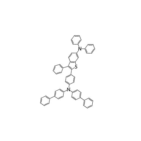 c1ccc(-c2ccc(N(c3ccc(-c4ccccc4)cc3)c3ccc(-c4sc5cc(N(c6ccccc6)c6ccccc6)ccc5c4-c4ccccc4)cc3)cc2)cc1